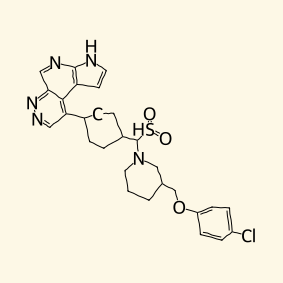 O=[SH](=O)C(C1CCC(c2cnnc3cnc4[nH]ccc4c23)CC1)N1CCCC(COc2ccc(Cl)cc2)C1